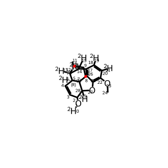 [2H]OC1C=C[C@]2([2H])[C@@]34CCN(C)[C@]2([2H])C([2H])([2H])c2c([2H])c([2H])c(OC)c(c23)OC14[2H]